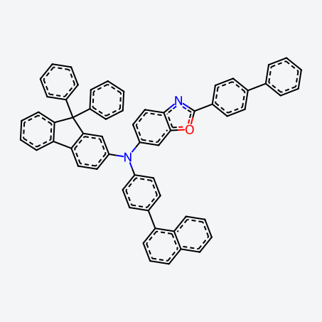 c1ccc(-c2ccc(-c3nc4ccc(N(c5ccc(-c6cccc7ccccc67)cc5)c5ccc6c(c5)C(c5ccccc5)(c5ccccc5)c5ccccc5-6)cc4o3)cc2)cc1